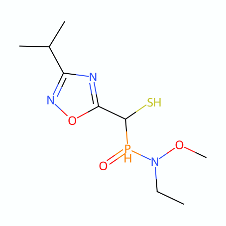 CCN(OC)[PH](=O)C(S)c1nc(C(C)C)no1